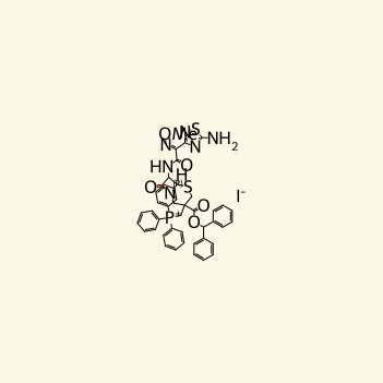 CON=C(C(=O)NC1C(=O)N2CC(C[P+](c3ccccc3)(c3ccccc3)c3ccccc3)(C(=O)OC(c3ccccc3)c3ccccc3)CS[C@H]12)c1nsc(N)n1.[I-]